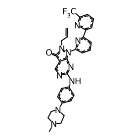 C=CCn1c(=O)c2cnc(Nc3ccc(N4CCN(C)CC4)cc3)nc2n1-c1cccc(-c2cccc(C(F)(F)F)n2)n1